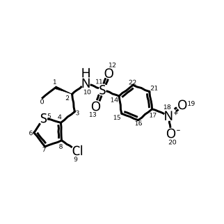 CC[C@H](Cc1sccc1Cl)NS(=O)(=O)c1ccc([N+](=O)[O-])cc1